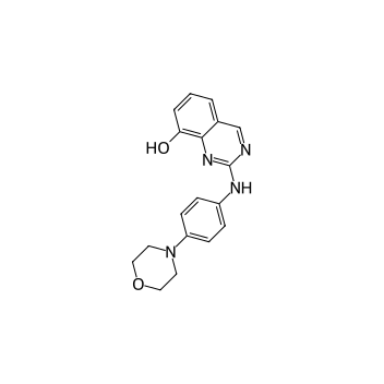 Oc1cccc2cnc(Nc3ccc(N4CCOCC4)cc3)nc12